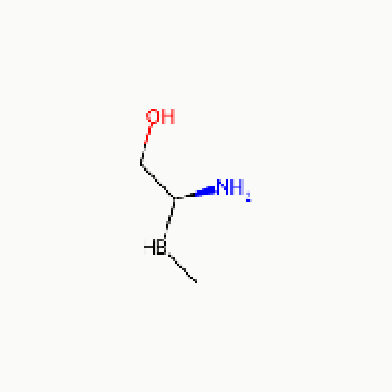 CB[C@H](N)CO